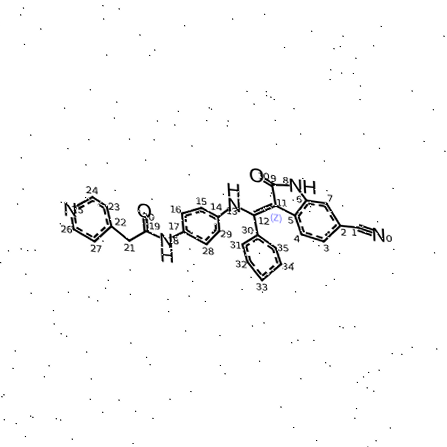 N#Cc1ccc2c(c1)NC(=O)/C2=C(\Nc1ccc(NC(=O)Cc2ccncc2)cc1)c1ccccc1